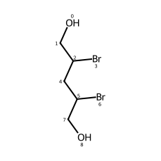 OCC(Br)CC(Br)CO